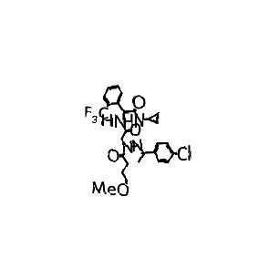 COCCCC(=O)N(CC(=O)NC(C(=O)NC1CC1)c1ccccc1C(F)(F)F)/N=C(\C)c1ccc(Cl)cc1